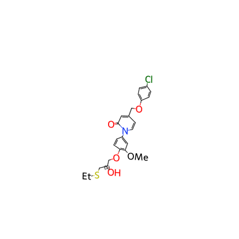 CCSC[C@@H](O)COc1ccc(-n2ccc(COc3ccc(Cl)cc3)cc2=O)cc1OC